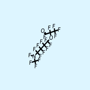 O=C(F)C(F)(OC(F)(F)C(F)(F)C(F)(F)C(F)(F)N(F)C(F)(F)F)C(F)(F)F